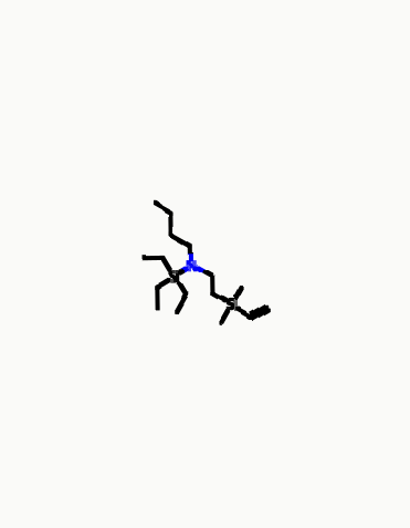 C=C[Si](C)(C)CCN(CCCC)[Si](CC)(CC)CC